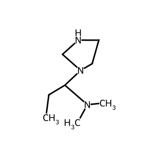 CCC(N(C)C)N1CCNC1